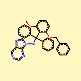 COc1cccc(OCc2ccccc2)c1C(Nn1cnc2cncnc21)(c1ccccc1)c1ccccc1